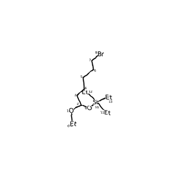 CCOC(CCCCCBr)O[Si](CC)(CC)CC